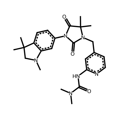 CN(C)C(=O)Nc1cc(CN2C(=O)N(c3ccc4c(c3)N(C)CC4(C)C)C(=O)C2(C)C)ccn1